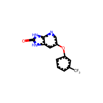 O=c1[nH]c2cc(Oc3cccc(C(F)(F)F)c3)cnc2[nH]1